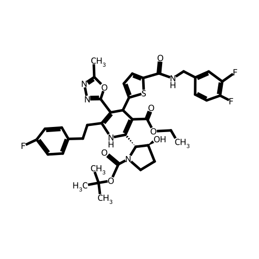 CCOC(=O)C1=C([C@@H]2[C@@H](O)CCN2C(=O)OC(C)(C)C)NC(CCc2ccc(F)cc2)=C(c2nnc(C)o2)C1c1ccc(C(=O)NCc2ccc(F)c(F)c2)s1